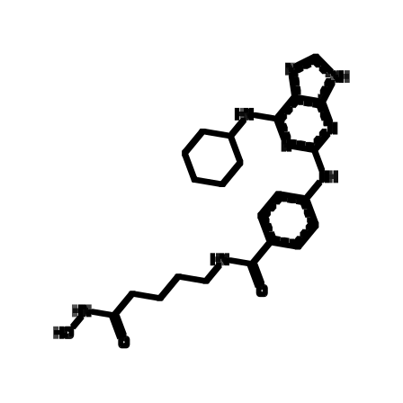 O=C(CCCCNC(=O)c1ccc(Nc2nc(NC3CCCCC3)c3nc[nH]c3n2)cc1)NO